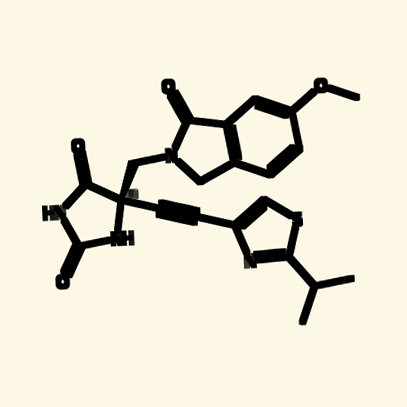 COc1ccc2c(c1)C(=O)N(C[C@@]1(C#Cc3csc(C(C)C)n3)NC(=O)NC1=O)C2